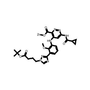 COc1c(Nc2cc(NC(=O)C3CC3)nnc2C(=O)[O][Zn])cccc1-c1ncn(CCCC(=O)OC(C)(C)C)n1